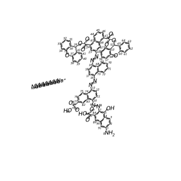 Nc1ccc2c(O)c(N=Nc3ccc(N=Nc4ccc(N=Nc5cc(S(=O)(=O)OC6c7ccccc7Oc7ccccc76)c6cccc(S(=O)(=O)OC7c8ccccc8Oc8ccccc87)c6c5)c5ccccc45)c4ccc(S(=O)(=O)O)cc34)c(S(=O)(=O)O)cc2c1.[Na+].[Na+].[Na+].[Na+].[Na+].[Na+].[Na+].[Na+]